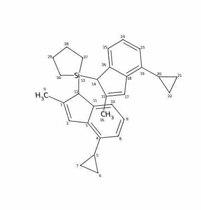 CC1=Cc2c(C3CC3)cccc2C1[Si]1(C2C(C)=Cc3c(C4CC4)cccc32)CCCC1